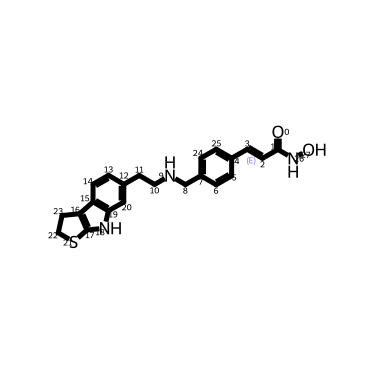 O=C(/C=C/c1ccc(CNCCc2ccc3c4c([nH]c3c2)SCC4)cc1)NO